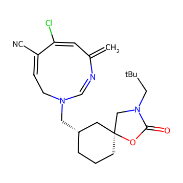 C=C1/C=C(Cl)\C(C#N)=C/CN(C[C@H]2CCC[C@]3(C2)CN(CC(C)(C)C)C(=O)O3)/C=N\1